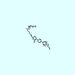 C=CCOc1ncc(-c2ccc(-c3ccc(/C=C/CCCC(C)OCCCCC)cc3F)cc2)cn1